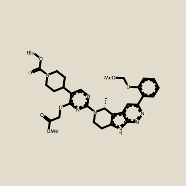 COCOc1ccccc1-c1cc2c3c([nH]c2nn1)CCN(c1ncc(C2CCN(C(=O)OC(C)(C)C)CC2)c(OCC(=O)OC)n1)[C@@H]3C